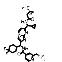 C[C@H](CC(=O)NC(c1ccn2cc([C@@H](NC(=O)c3ccnc(CC(F)(F)F)c3)C3CCC(F)(F)CC3)nc2n1)C1CC1)C(F)(F)F